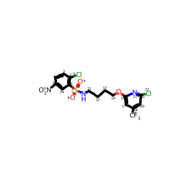 O=[N+]([O-])c1ccc(Cl)c(S(=O)(=O)NCCCCOc2cc(C(F)(F)F)cc(Cl)n2)c1